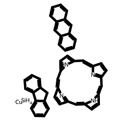 C1=Cc2cc3ccc(cc4nc(cc5ccc(cc1n2)[nH]5)C=C4)[nH]3.[Cu].[SiH4].c1ccc2c(c1)Cc1ccccc1-2.c1ccc2cc3ccccc3cc2c1